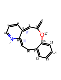 C=C1/C=c2/cccn/c2=C/Cc2ccccc2O1